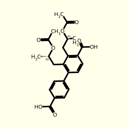 CC(=O)O[C@@H](C)Cc1c(C(=O)O)ccc(-c2ccc(C(=O)O)cc2)c1C[C@H](C)OC(C)=O